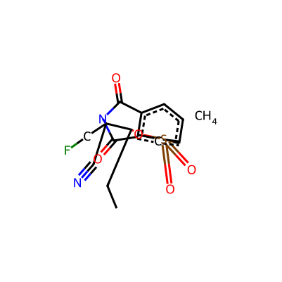 C.CCC1OS(=O)(=O)c2ccc3c(c2)C(=O)N(C3=O)C1(C#N)CF